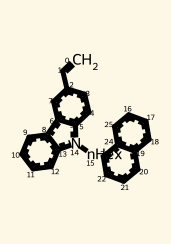 C=Cc1ccc2c(c1)c1ccccc1n2CCCCCC.c1ccc2ccccc2c1